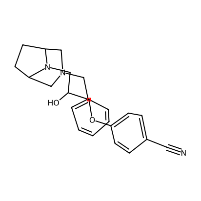 N#Cc1ccc(OCC(O)CN2C3CCC2CN(Cc2ccccc2)C3)cc1